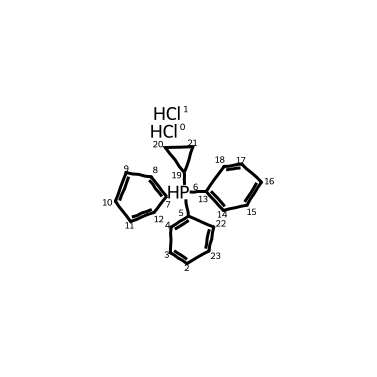 Cl.Cl.c1ccc([PH](c2ccccc2)(c2ccccc2)C2CC2)cc1